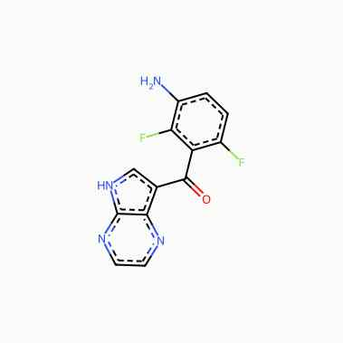 Nc1ccc(F)c(C(=O)c2c[nH]c3nccnc23)c1F